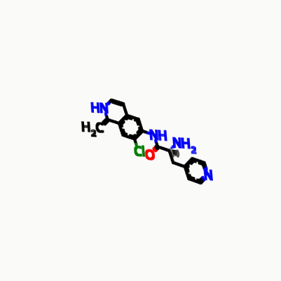 C=C1NC=Cc2cc(NC(=O)[C@H](N)Cc3ccncc3)c(Cl)cc21